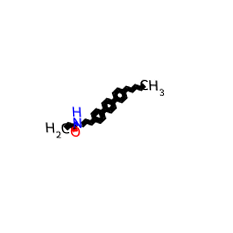 C=CC(=O)NCCCc1ccc(-c2ccc(C3CCC(CCCCC)CC3)cc2)cc1